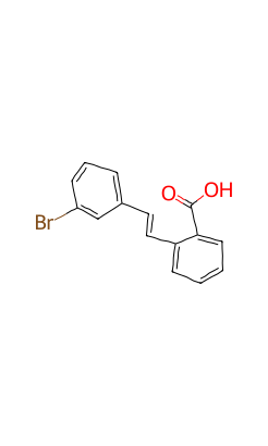 O=C(O)c1ccccc1/C=C/c1cccc(Br)c1